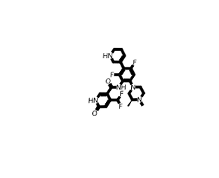 C[C@H]1CN(c2cc(F)c(C3=CCCNC3)c(F)c2NC(=O)c2c[nH]c(=O)cc2C(F)F)CCN1C